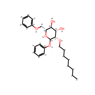 CCCCCCCCO[C@@H]1C(Oc2ccccc2)O[C@H](COc2ccccc2)[C@@H](O)[C@@H]1O